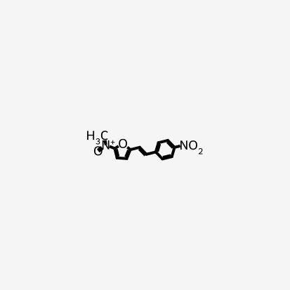 C[N+](=O)c1ccc(/C=C/c2ccc([N+](=O)[O-])cc2)o1